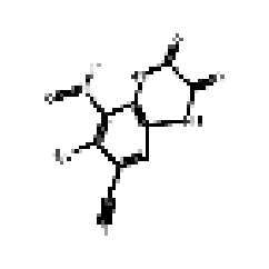 Cc1c(C#N)cc2[nH]c(=O)c(=O)[nH]c2c1[N+](=O)[O-]